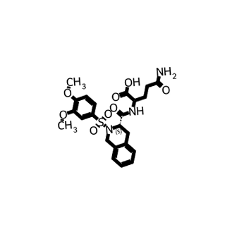 COc1ccc(S(=O)(=O)N2Cc3ccccc3C[C@H]2C(=O)NC(CCC(N)=O)C(=O)O)cc1OC